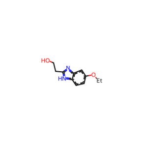 CCOc1ccc2[nH]c(CCO)nc2c1